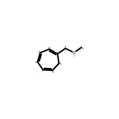 COCC1=CC=CC=CC1